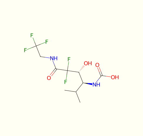 CC(C)[C@H](NC(=O)O)[C@@H](O)C(F)(F)C(=O)NCC(F)(F)F